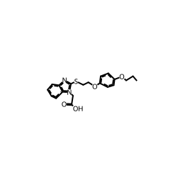 CCCOc1ccc(OCCSc2nc3ccccc3n2CC(=O)O)cc1